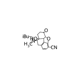 CCC(C)CN(C)[C@@H]1Cc2ccc(C#N)c3c2C2C(O3)C(=O)CC[C@]21O